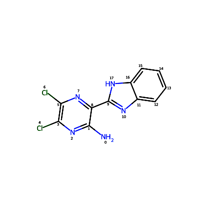 Nc1nc(Cl)c(Cl)nc1-c1nc2ccccc2[nH]1